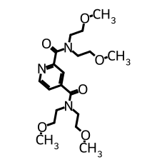 COCCN(CCOC)C(=O)c1ccnc(C(=O)N(CCOC)CCOC)c1